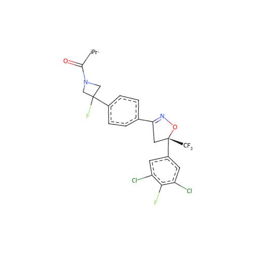 C[C](C)C(=O)N1CC(F)(c2ccc(C3=NO[C@@](c4cc(Cl)c(F)c(Cl)c4)(C(F)(F)F)C3)cc2)C1